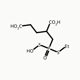 CCSP(=O)(CC(CCC(=O)O)C(=O)O)SO